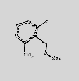 CSOCc1c(C)cccc1Cl